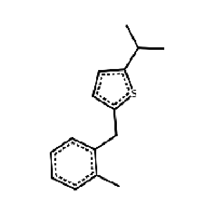 Cc1ccccc1Cc1ccc(C(C)C)s1